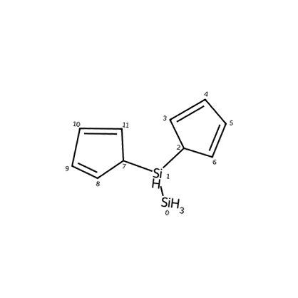 [SiH3][SiH](C1C=CC=C1)C1C=CC=C1